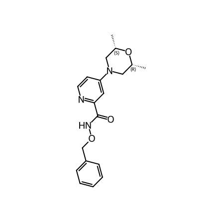 C[C@@H]1CN(c2ccnc(C(=O)NOCc3ccccc3)c2)C[C@H](C)O1